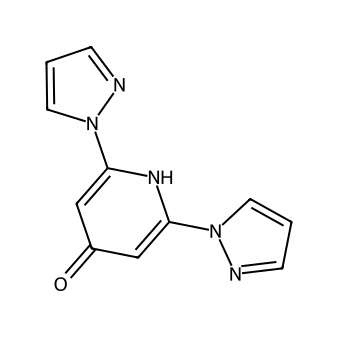 O=c1cc(-n2cccn2)[nH]c(-n2cccn2)c1